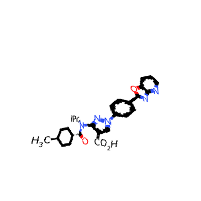 CC(C)N(c1nn(-c2ccc(-c3nc4ncccc4o3)cc2)cc1C(=O)O)C(=O)[C@H]1CC[C@H](C)CC1